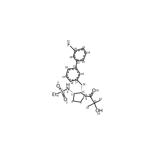 CCS(=O)(=O)N[C@H]1CCN(C(=O)C(C)(C)O)[C@H]1Cc1cccc(-c2cccc(F)c2)c1